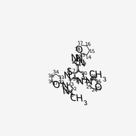 Cc1cc(-c2nsc3c(-c4cnn(C5CCCCO5)n4)cc(N4CCOC[C@H]4C)nc23)n(C2CCCCO2)n1